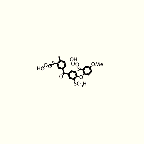 COc1ccc(Oc2ccc(C(=O)c3ccc(C)c(SOOO)c3)cc2S(=O)(=O)O)c(SOOO)c1